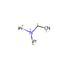 CC(C)N(CC#N)C(C)C